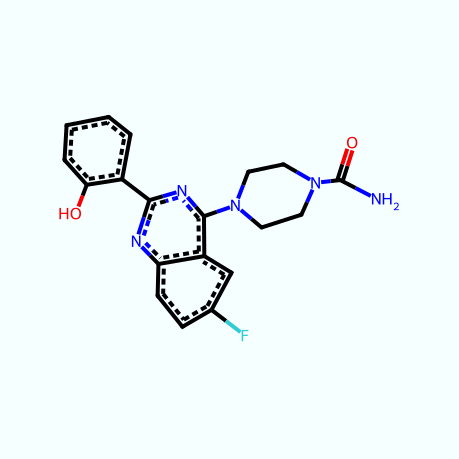 NC(=O)N1CCN(c2nc(-c3ccccc3O)nc3ccc(F)cc23)CC1